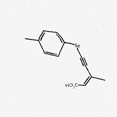 CC(C#C[Se]c1ccc(C)cc1)=CC(=O)O